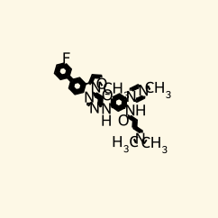 COc1cc(N2CCN(C)CC2)c(NC(=O)/C=C/CN(C)C)cc1Nc1cc(N2OCC[C@@H]2c2cccc(-c3cccc(F)c3)c2)ncn1